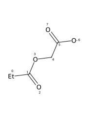 CCC(=O)OCC([O])=O